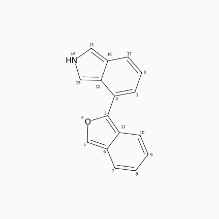 c1cc(-c2occ3ccccc23)c2c[nH]cc2c1